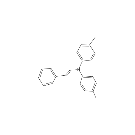 Cc1ccc(N(C=Cc2ccccc2)c2ccc(C)cc2)cc1